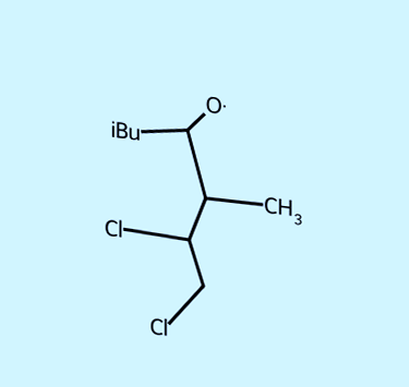 CCC(C)C([O])C(C)C(Cl)CCl